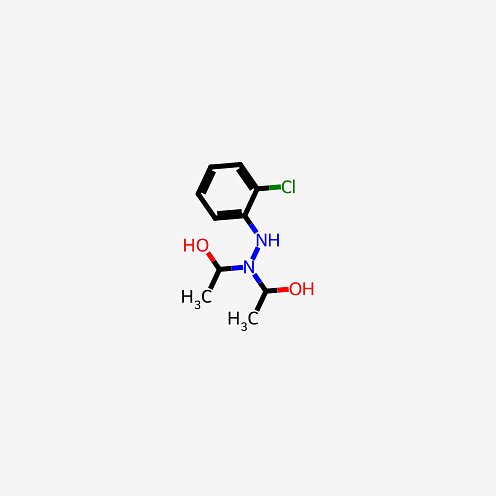 CC(O)N(Nc1ccccc1Cl)C(C)O